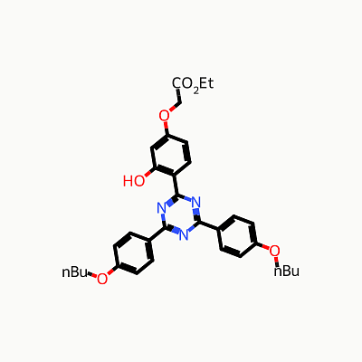 CCCCOc1ccc(-c2nc(-c3ccc(OCCCC)cc3)nc(-c3ccc(OCC(=O)OCC)cc3O)n2)cc1